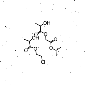 CC(C)OC(=O)COC(=O)C(C)O.CC(O)C(=O)OCCCl